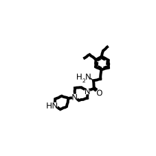 CCc1ccc(C[C@@H](N)C(=O)N2CCN(C3CCNCC3)CC2)cc1CC